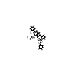 COc1nc(-c2ccccc2F)cc2sc(C3CCCN3C(=O)OCc3ccccc3)nc12